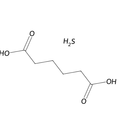 O=C(O)CCCCC(=O)O.S